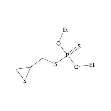 CCOP(=S)(OCC)SCC1CS1